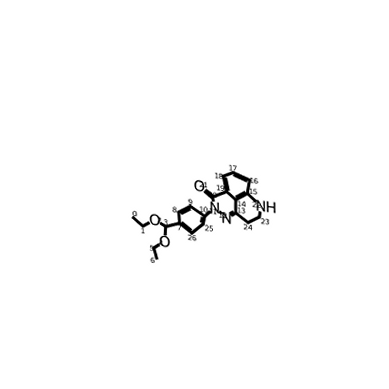 CCOC(OCC)c1ccc(-n2nc3c4c(cccc4c2=O)NCC3)cc1